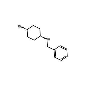 CC[C@H]1CC[C@@H](NCc2ccccc2)CC1